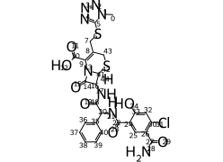 Cn1nnnc1SCC1=C(C(=O)O)N2C(=O)C(NC(=O)[C@@H](NC(=O)c3cc(C(N)=O)c(Cl)cc3O)c3ccccc3)[C@@H]2SC1